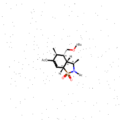 CCCCOC[C@@H]1[C@@H]2[C@@H](C)N(C(C)=O)S(=O)(=O)[C@@H]2C=C(OC(C)=O)[C@H]1C